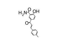 Cc1ccc(/C=C/C(=O)c2ccc(O)c(C(N)=O)c2)cc1